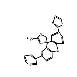 NC1=N[C@@]2(CO1)c1cc(-c3cccnc3)ccc1Oc1ccc(-c3nccs3)cc12